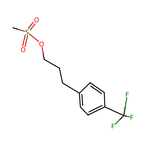 CS(=O)(=O)OCCCc1ccc(C(F)(F)F)cc1